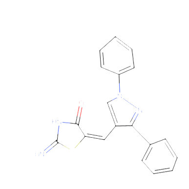 N=C1NC(=O)/C(=C\c2cn(-c3ccccc3)nc2-c2ccccc2)S1